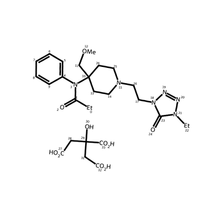 CCC(=O)N(c1ccccc1)C1(COC)CCN(CCn2nnn(CC)c2=O)CC1.O=C(O)CC(O)(CC(=O)O)C(=O)O